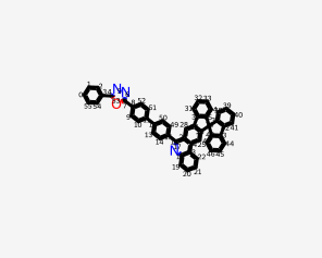 c1ccc(-c2nnc(-c3ccc(-c4ccc(-c5nc6ccccc6c6cc7c(cc56)-c5ccccc5C75c6ccccc6-c6ccccc65)cc4)cc3)o2)cc1